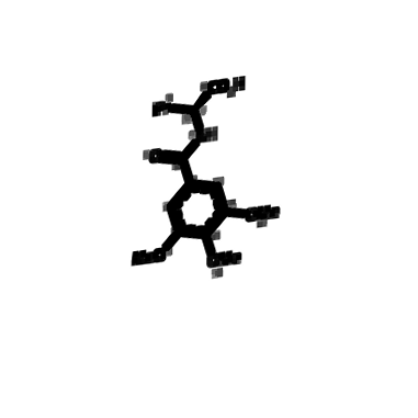 COc1cc(C(=O)N[C@H](C(=O)O)C(C)C)cc(OC)c1OC